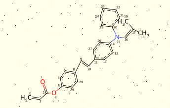 C=CC(=O)Oc1ccc(C=Cc2ccc(N(C=C(C)C)c3ccccc3)cc2)cc1